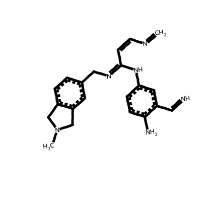 C=N/C=C\C(=N/Cc1ccc2c(c1)CN(C)C2)Nc1ccc(N)c(C=N)c1